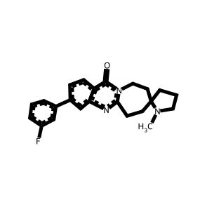 CN1CCCC12CCc1nc3cc(-c4cccc(F)c4)ccc3c(=O)n1CC2